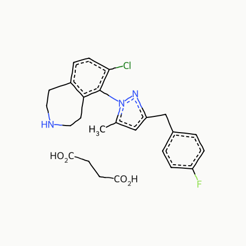 Cc1cc(Cc2ccc(F)cc2)nn1-c1c(Cl)ccc2c1CCNCC2.O=C(O)CCC(=O)O